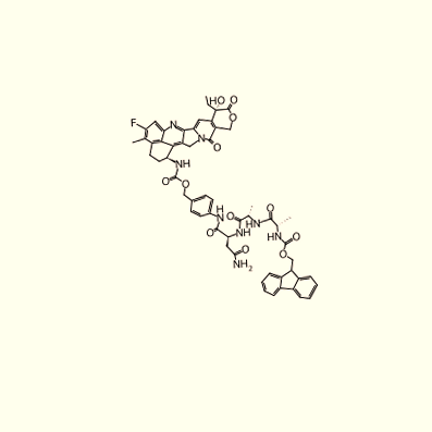 CC[C@@]1(O)C(=O)OCc2c1cc1n(c2=O)Cc2c-1nc1cc(F)c(C)c3c1c2[C@@H](NC(=O)OCc1ccc(NC(=O)[C@H](CC(N)=O)NC(=O)[C@H](C)NC(=O)[C@H](C)NC(=O)OCC2c4ccccc4-c4ccccc42)cc1)CC3